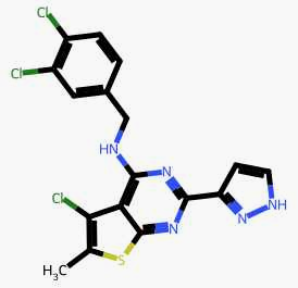 Cc1sc2nc(-c3cc[nH]n3)nc(NCc3ccc(Cl)c(Cl)c3)c2c1Cl